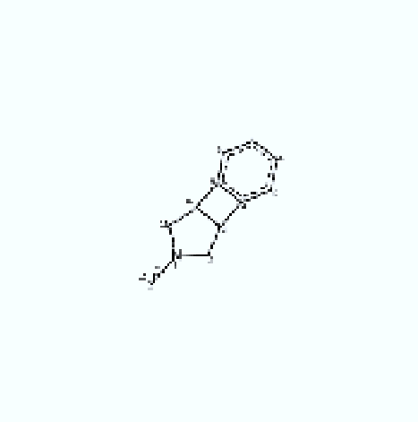 PN1CC2c3ccccc3C2C1